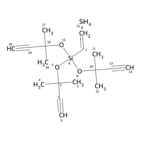 C#CC(C)(C)O[Si](C=C)(OC(C)(C)C#C)OC(C)(C)C#C.[SiH4]